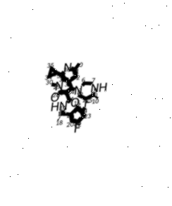 Cc1cc2c(N3CCN[C@@H](C)CC3)c(C(=O)N[C@@H](C)c3cc(F)cc(F)c3)c(=O)n(C)c2c(C2CC2)n1